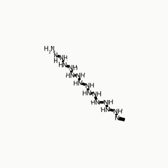 C=NNNNNNNNNNNNNNNN